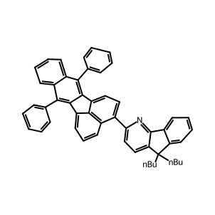 CCCCC1(CCCC)c2ccccc2-c2nc(-c3ccc4c5c(cccc35)-c3c-4c(-c4ccccc4)c4ccccc4c3-c3ccccc3)ccc21